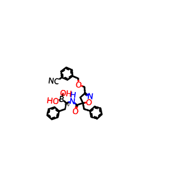 N#Cc1cccc(COCC2=NOC(Cc3ccccc3)(C(=O)N[C@@H](Cc3ccccc3)B(O)O)C2)c1